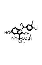 CCC[C@@](C)(C(=O)O)c1c(C)n(C(=O)c2ccc(Cl)c(F)c2)c2ccc(O)cc12